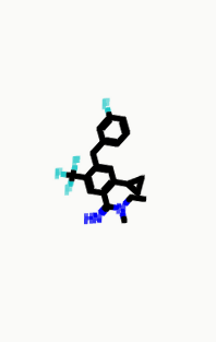 CCN(C)C(=N)c1cc(C(F)(F)F)c(Cc2cccc(F)c2)cc1C1CC1